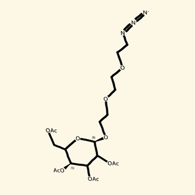 CC(=O)OCC1O[C@@H](OCCOCCOCCN=[N+]=[N-])C(OC(C)=O)C(OC(C)=O)[C@H]1OC(C)=O